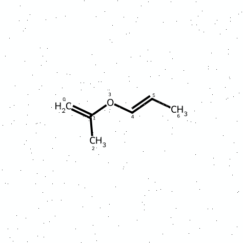 C=C(C)OC=CC